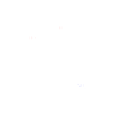 NCCC1C=CC(O)C(O)C1